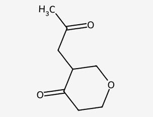 CC(=O)CC1COCCC1=O